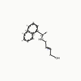 C[C@@H](NC/C=C/CO)c1cccc2ccccc12